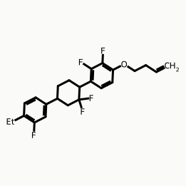 C=CCCOc1ccc(C2CCC(c3ccc(CC)c(F)c3)CC2(F)F)c(F)c1F